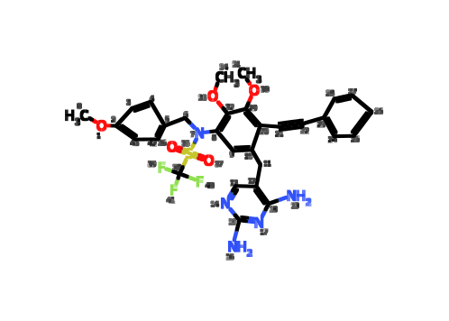 COc1ccc(CN(c2cc(Cc3cnc(N)nc3N)c(C#Cc3ccccc3)c(OC)c2OC)S(=O)(=O)C(F)(F)F)cc1